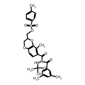 Cc1ccc(S(=O)(=O)OCC2COc3ccc(C(=O)N(NC(C)(C)C)C(=O)c4cc(C)cc(C)c4)c(C)c3O2)cc1